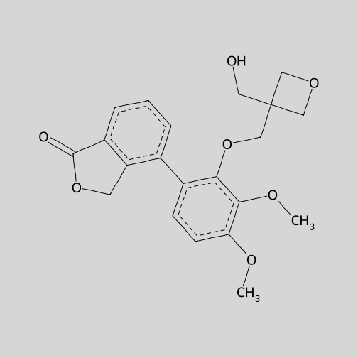 COc1ccc(-c2cccc3c2COC3=O)c(OCC2(CO)COC2)c1OC